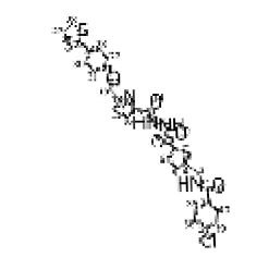 O=C(NCc1ccc(S(=O)(=O)NNC(=O)c2csc(COc3ccc(C4SCCS4)cc3)n2)s1)c1ccc(Cl)cc1